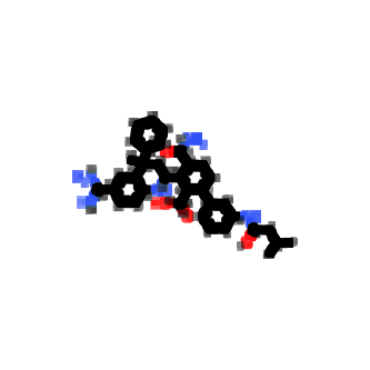 CC(C)CC(=O)Nc1cccc(-c2ccc(C(N)=O)c(C3CC(C)(c4ccccc4)c4cc(C(=N)N)ccc4N3)c2C(=O)O)c1